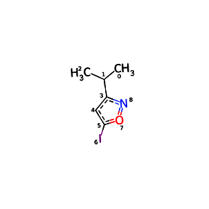 CC(C)c1cc(I)on1